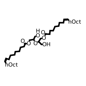 CCCCCCCC/C=C\CCCCCCCC(=O)OCC(CO)OC(CO)COC(=O)CCCCCCC/C=C\CCCCCCCC